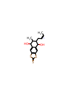 C/C=C\CC1C(O)c2cc3sc(=S)sc3cc2C(O)C1C